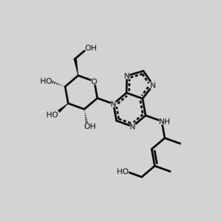 C/C(=C\C(C)Nc1ncn(C2O[C@H](CO)[C@@H](O)[C@H](O)[C@H]2O)c2ncnc1-2)CO